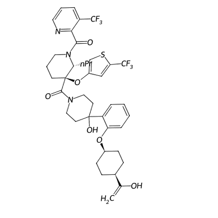 C=C(O)[C@H]1CC[C@@H](Oc2ccccc2C2(O)CCN(C(=O)[C@]3(Oc4csc(C(F)(F)F)c4)CCCN(C(=O)c4ncccc4C(F)(F)F)[C@@H]3CCC)CC2)CC1